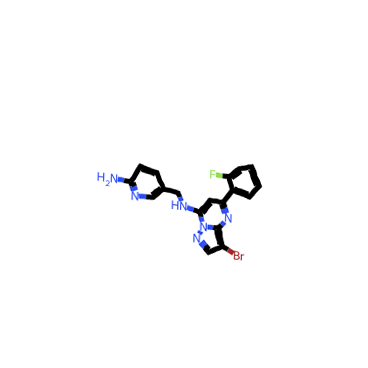 Nc1ccc(CNc2cc(-c3ccccc3F)nc3c(Br)cnn23)cn1